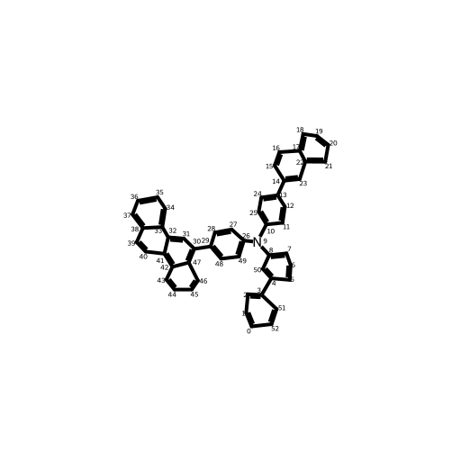 c1ccc(-c2cccc(N(c3ccc(-c4ccc5ccccc5c4)cc3)c3ccc(-c4cc5c6ccccc6ccc5c5ccccc45)cc3)c2)cc1